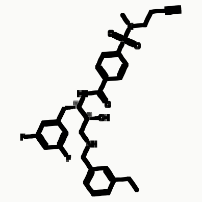 C#CCCN(C)S(=O)(=O)c1ccc(C(=O)N[C@@H](Cc2cc(F)cc(F)c2)[C@H](O)CNCc2cccc(CC)c2)cc1